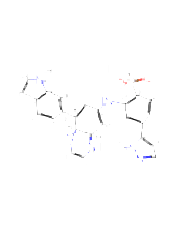 Cn1nccc1-c1ccc(S(C)(=O)=O)c(Nc2cc(-c3ccc4ccn(C)c4c3)c3nccnc3c2)c1